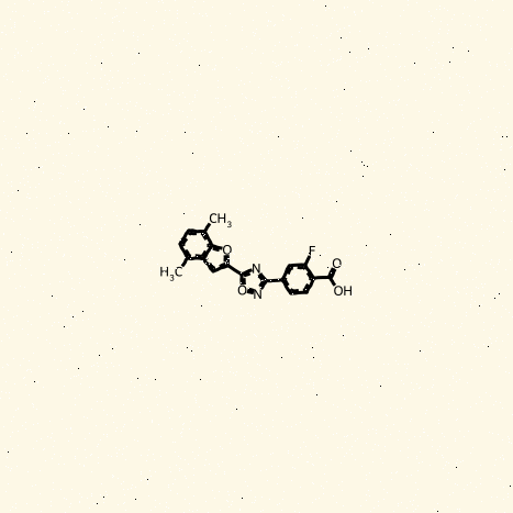 Cc1ccc(C)c2oc(-c3nc(-c4ccc(C(=O)O)c(F)c4)no3)cc12